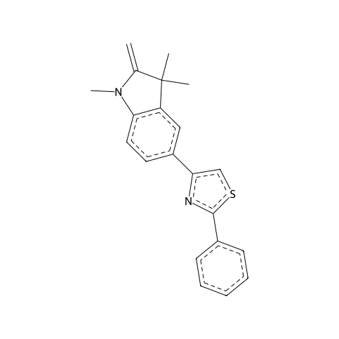 C=C1N(C)c2ccc(-c3csc(-c4ccccc4)n3)cc2C1(C)C